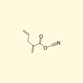 C=CCC(=C)C(=O)OC#N